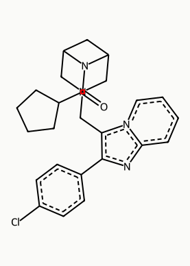 O=C(C1CCCC1)N1C2CC1CN(Cc1c(-c3ccc(Cl)cc3)nc3ccccn13)C2